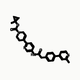 Cc1cc(-c2ccc(CC(=O)Nc3ccc(C4=CCN(C(=O)OC5(C)CC5)CC4)nc3)cc2)ccn1